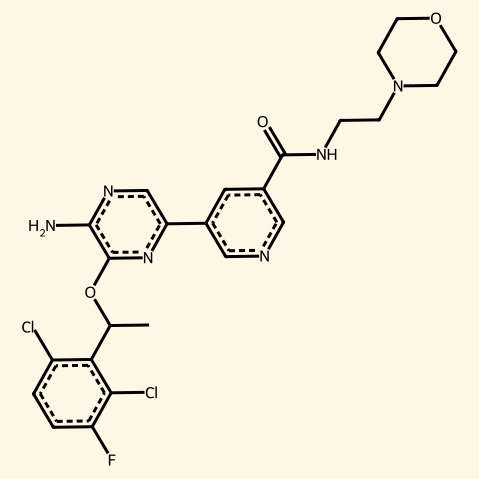 CC(Oc1nc(-c2cncc(C(=O)NCCN3CCOCC3)c2)cnc1N)c1c(Cl)ccc(F)c1Cl